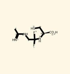 CC(=N)NCC(F)(F)N[C@@H](CS)C(=O)O